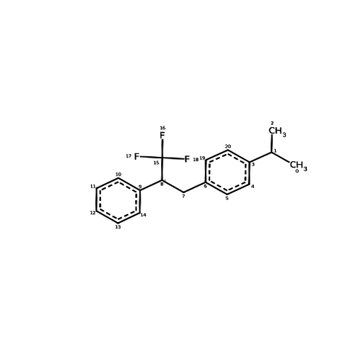 CC(C)c1ccc(C[C](c2ccccc2)C(F)(F)F)cc1